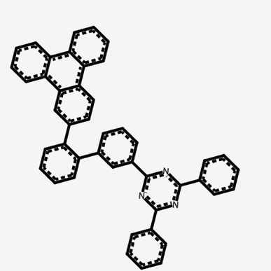 c1ccc(-c2nc(-c3ccccc3)nc(-c3cccc(-c4ccccc4-c4ccc5c6ccccc6c6ccccc6c5c4)c3)n2)cc1